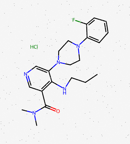 CCCNc1c(C(=O)N(C)C)cncc1N1CCN(c2ccccc2F)CC1.Cl